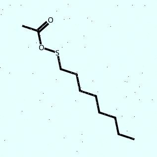 CCCCCCCCSOC(C)=O